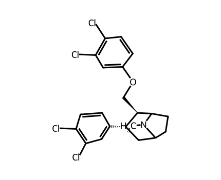 CN1C2CCC1[C@H](COc1ccc(Cl)c(Cl)c1)[C@@H](c1ccc(Cl)c(Cl)c1)C2